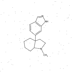 CN1CCC2(c3ccc4cn[nH]c4c3)CCCCC12